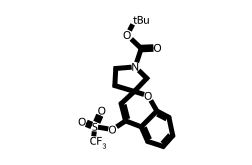 CC(C)(C)OC(=O)N1CCC2(C=C(OS(=O)(=O)C(F)(F)F)c3ccccc3O2)C1